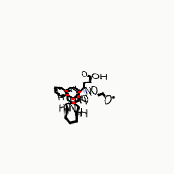 COCCO/N=C(\CCC(=O)O)c1nc2ccccc2n(C2C[C@H]3CCC[C@@H](C2)N3C2C[C@H]3CCCC[C@@H](C2)C3)c1=O